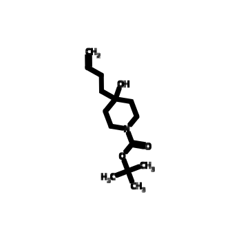 C=CCCC1(O)CCN(C(=O)OC(C)(C)C)CC1